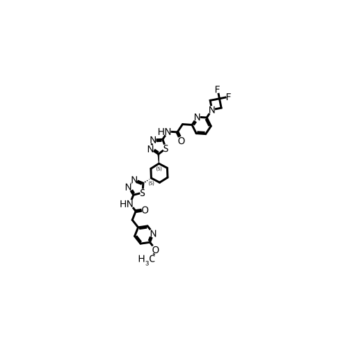 COc1ccc(CC(=O)Nc2nnc([C@H]3CCC[C@H](c4nnc(NC(=O)Cc5cccc(N6CC(F)(F)C6)n5)s4)C3)s2)cn1